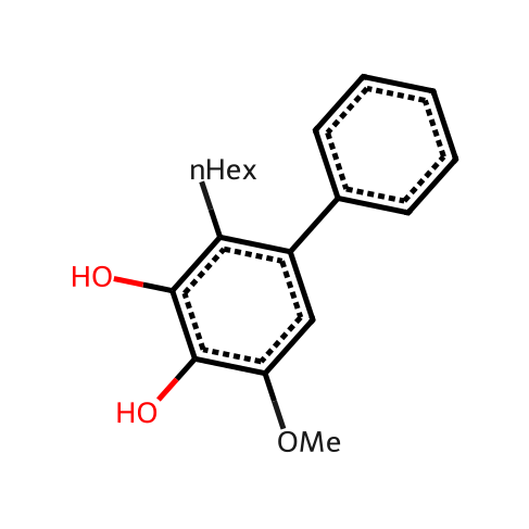 CCCCCCc1c(-c2ccccc2)cc(OC)c(O)c1O